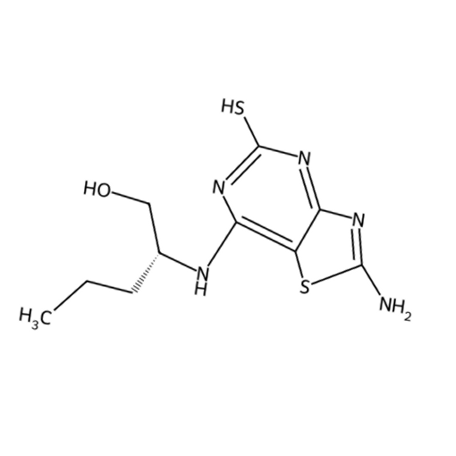 CCC[C@H](CO)Nc1nc(S)nc2nc(N)sc12